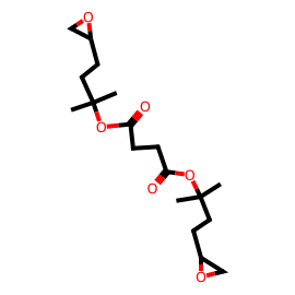 CC(C)(CCC1CO1)OC(=O)CCC(=O)OC(C)(C)CCC1CO1